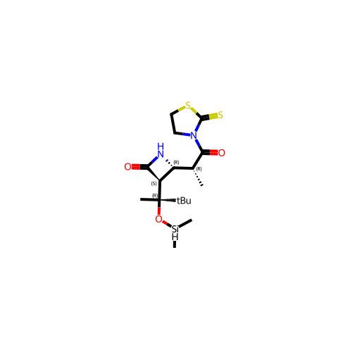 C[C@@H](C(=O)N1CCSC1=S)[C@H]1NC(=O)[C@@H]1[C@@](C)(O[SiH](C)C)C(C)(C)C